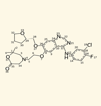 CC1(C)CN(CCOc2cc3c(Nc4ccc(F)c(Cl)c4)ncnc3cc2OC[C@@H]2CCCO2)CC(=O)O1